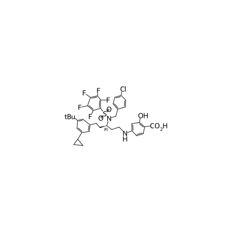 CC(C)(C)c1cc(CC[C@H](CCNc2ccc(C(=O)O)c(O)c2)N(Cc2ccc(Cl)cc2)S(=O)(=O)c2c(F)c(F)c(F)c(F)c2F)cc(C2CC2)c1